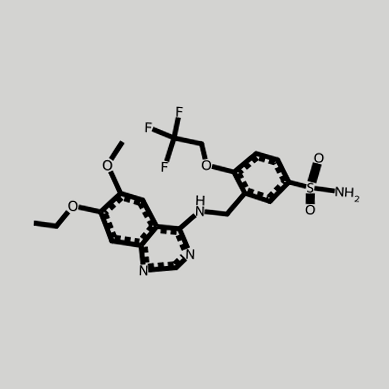 CCOc1cc2ncnc(NCc3cc(S(N)(=O)=O)ccc3OCC(F)(F)F)c2cc1OC